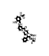 CC(=O)NC1=C/C(=C/Nc2ccnc(C(=O)N3CCN(C(/C(N=N)=N/NC(F)F)c4ccccc4)CC3)c2)C(=N)C=C1